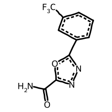 NC(=O)c1nnc(-c2cccc(C(F)(F)F)c2)o1